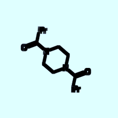 CC(C)C(=O)N1CCN(C(=O)C(C)C)CC1